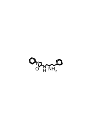 N[C@@H](CCc1ccccc1)CN[C@@H]1CN(c2ccccc2)C1=O